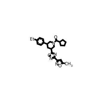 CCc1ccc(C2CC(c3nc(-c4cc(C)on4)no3)CN(C(=O)C3CCCC3)C2)cc1